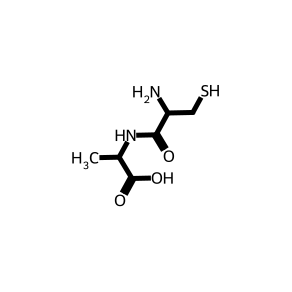 CC(NC(=O)C(N)CS)C(=O)O